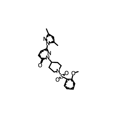 COc1ccccc1S(=O)(=O)N1CCC(n2nc(-n3nc(C)cc3C)ccc2=O)CC1